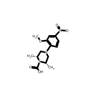 COc1cc([N+](=O)[O-])ccc1N1C[C@@H](C)N(C(=O)O)[C@@H](C)C1